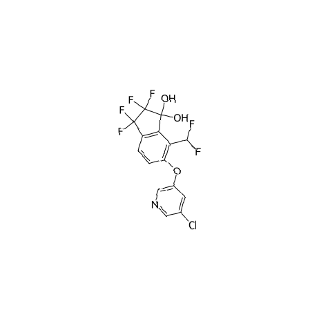 OC1(O)c2c(ccc(Oc3cncc(Cl)c3)c2C(F)F)C(F)(F)C1(F)F